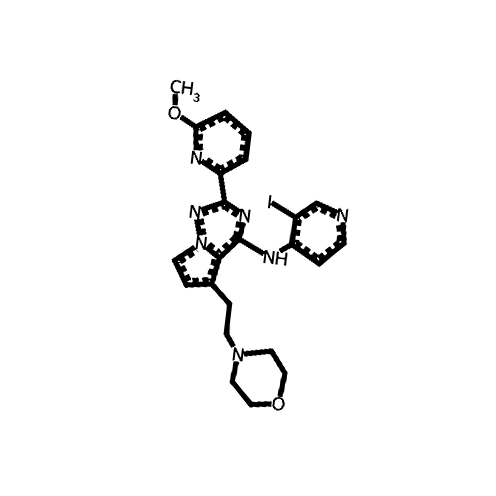 COc1cccc(-c2nc(Nc3ccncc3I)c3c(CCN4CCOCC4)ccn3n2)n1